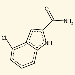 NC(=O)c1cc2c(Cl)cccc2[nH]1